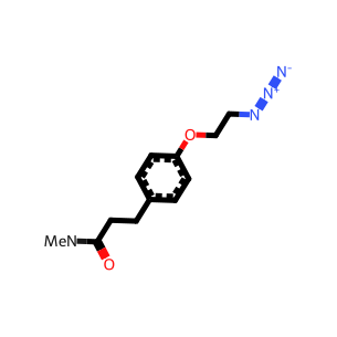 CNC(=O)CCc1ccc(OCCN=[N+]=[N-])cc1